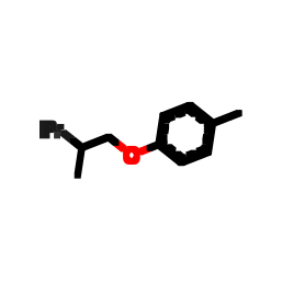 Cc1ccc(OCC(C)C(C)C)cc1